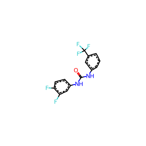 O=C(Nc1cccc(C(F)(F)F)c1)Nc1ccc(F)c(F)c1